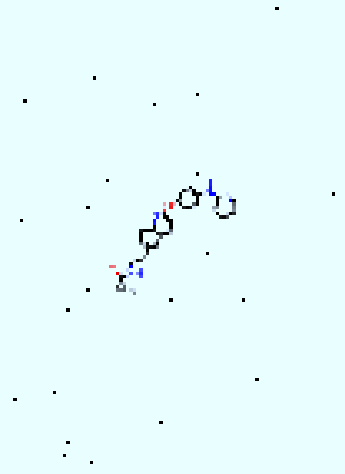 CC(=O)NCCc1ccc2nc(Oc3ccc(Nc4ccccn4)cc3)ccc2c1